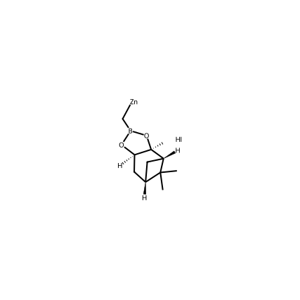 CC1(C)[C@@H]2C[C@H]3OB([CH2][Zn])O[C@@]3(C)[C@H]1C2.I